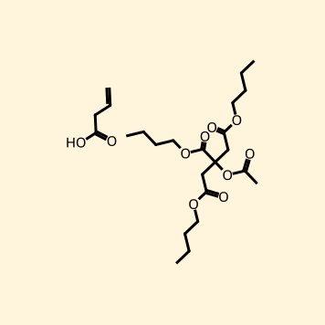 C=CCC(=O)O.CCCCOC(=O)CC(CC(=O)OCCCC)(OC(C)=O)C(=O)OCCCC